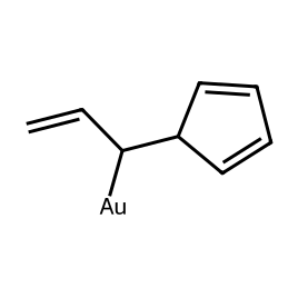 C=C[CH]([Au])C1C=CC=C1